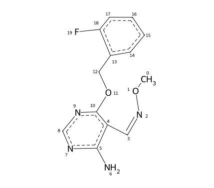 CO/N=C\c1c(N)ncnc1OCc1ccccc1F